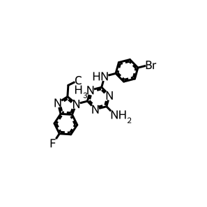 CCc1nc2cc(F)ccc2n1-c1nc(N)nc(Nc2ccc(Br)cc2)n1